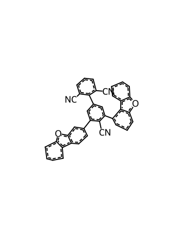 N#Cc1cccc(C#N)c1-c1cc(-c2ccc3c(c2)oc2ccccc23)c(C#N)c(-c2cccc3oc4ccccc4c23)c1